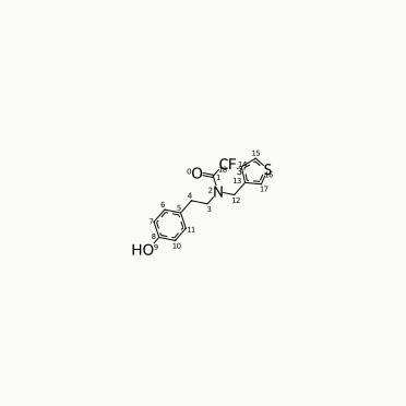 O=C(N(CCc1ccc(O)cc1)Cc1ccsc1)C(F)(F)F